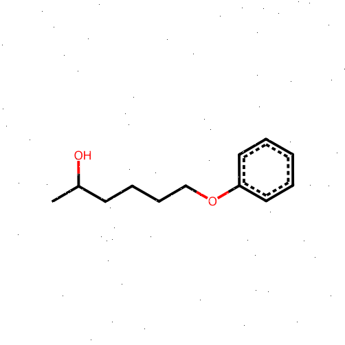 CC(O)CCCCOc1ccccc1